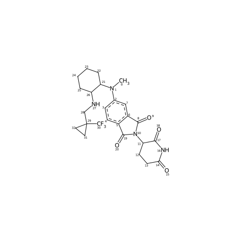 CN(c1ccc2c(c1)C(=O)N(C1CCC(=O)NC1=O)C2=O)C1CCCCC1NCC1(C(F)(F)F)CC1